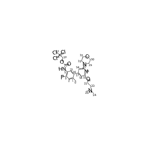 Cc1cc(F)c(NC(=O)OCC(Cl)(Cl)Cl)cc1-c1cc(OCCN(C)C)nc(N2CCOCC2)c1